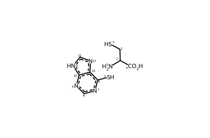 NC(CS)C(=O)O.Sc1ncnc2[nH]cnc12